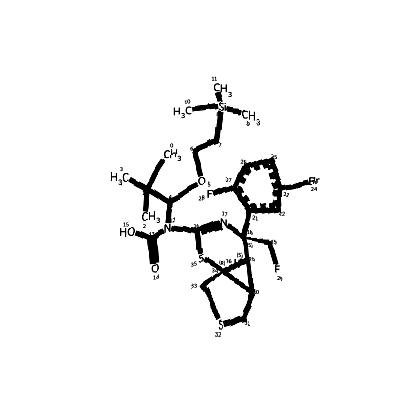 CC(C)(C)C(OCC[Si](C)(C)C)N(C(=O)O)C1=N[C@](CF)(c2cc(Br)ccc2F)[C@@H]2C3CSC[C@]32S1